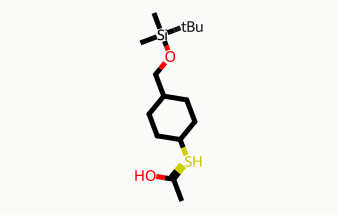 CC(O)=[SH]C1CCC(CO[Si](C)(C)C(C)(C)C)CC1